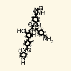 Cc1cc(C(=O)NC2CCNCC2)ccc1-c1ccc(C[C@H](NC(=O)C2CCC(CN)CC2)C(=O)Nc2ccc(-c3nnc(Cl)[nH]3)cc2)cc1.Cl